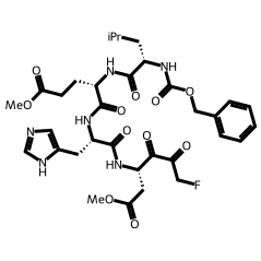 COC(=O)CC[C@H](NC(=O)[C@H](CC(C)C)NC(=O)OCc1ccccc1)C(=O)N[C@@H](Cc1cnc[nH]1)C(=O)N[C@@H](CC(=O)OC)C(=O)C(=O)CF